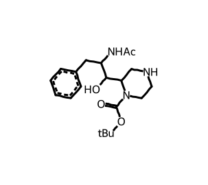 CC(=O)NC(Cc1ccccc1)C(O)C1CNCCN1C(=O)OC(C)(C)C